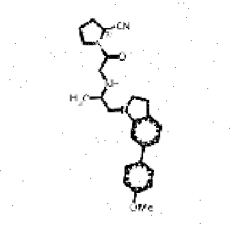 COc1ccc(-c2ccc3c(c2)N(CC(C)NCC(=O)N2CCC[C@H]2C#N)CC3)cc1